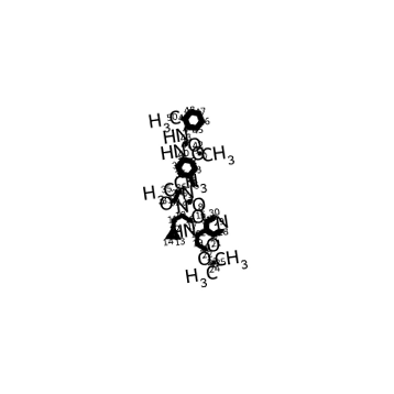 COc1cc(CN2C(=O)N(C(CC3CC3)C(=O)NC(CC(=O)OC(C)C)c3ccncc3)C(=O)C2(C)C)ccc1NC(=O)Nc1ccccc1C